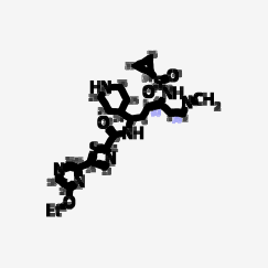 C=N/C=C\C(=C/CC(NC(=O)c1ncc(-c2cncc(OCC)n2)s1)C1CCNCC1)NS(=O)(=O)C1CC1